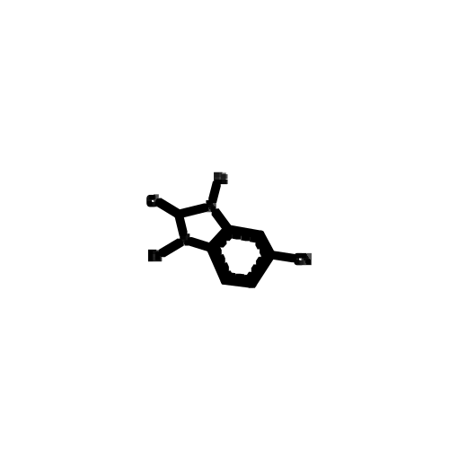 CCN1c2ccc(C#N)cc2N(CC)C1Cl